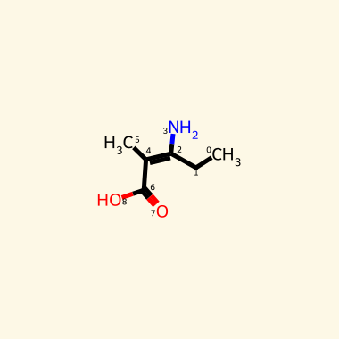 CCC(N)=C(C)C(=O)O